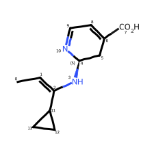 CC=C(N[C@@H]1CC(C(=O)O)=CC=N1)C1CC1